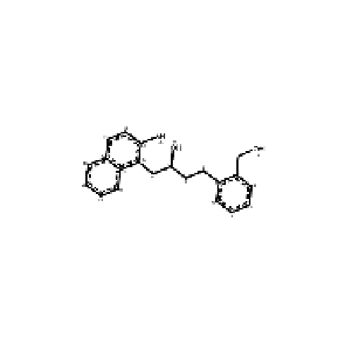 OCc1ccccc1CCC(O)Cc1c(S)ccc2ccccc12